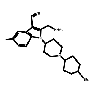 CC(=O)NCc1c(C=N)c2cc(F)ccc2n1C1CCN(C2CCC(C(C)(C)C)CC2)CC1